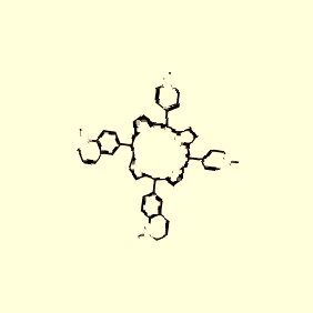 CN1C=CC(c2c3nc(c(C4=CCN(C)C=C4)c4ccc(s4)c(-c4ccc5c(c4)C=CCN5C)c4nc(c(-c5ccc6c(c5)C=CCN6C)c5ccc2[nH]5)C=C4)C=C3)=CC1